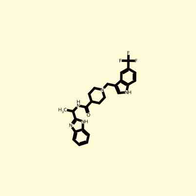 CC(NC(=O)C1CCN(Cc2c[nH]c3ccc(C(F)(F)F)cc23)CC1)c1nc2ccccc2[nH]1